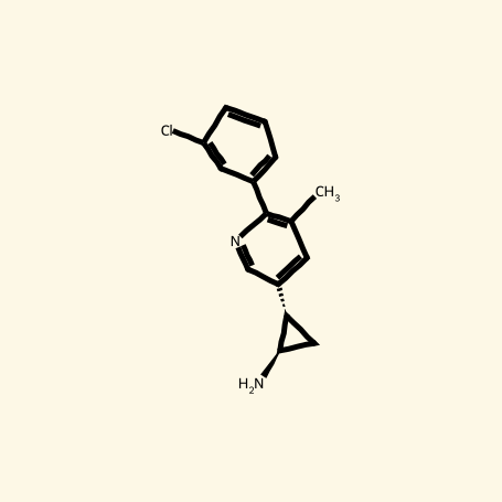 Cc1cc([C@@H]2C[C@H]2N)cnc1-c1cccc(Cl)c1